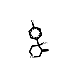 C=C1CNCCC1(O)c1ccc(Cl)cc1